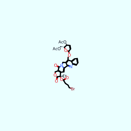 CC[C@@]1(OC(=O)CCCBr)C(=O)OCc2c1cc1n(c2=O)Cc2c-1nc1ccccc1c2COC1C=C[C@H](OC(C)=O)[C@@H](COC(C)=O)O1